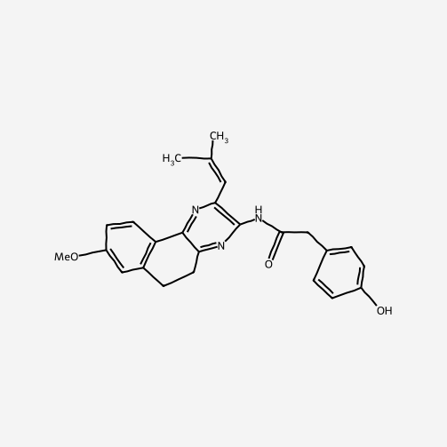 COc1ccc2c(c1)CCc1nc(NC(=O)Cc3ccc(O)cc3)c(C=C(C)C)nc1-2